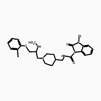 CCn1c(=O)n(C(=O)NCC2CCN(CC(COc3ccccc3C)NC(=O)O)CC2)c2ccccc21